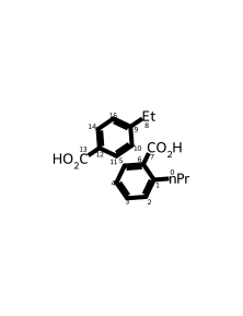 CCCc1ccccc1C(=O)O.CCc1ccc(C(=O)O)cc1